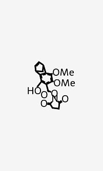 COc1c(OC)c2c(c(CO)c1C(=O)ON1C(=O)CCC1=O)C1C=CC2C1